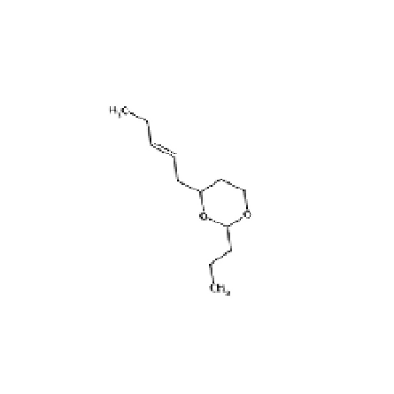 CCC=CCC1CCOC(CCC)O1